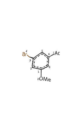 COc1cc(Br)cc(C(C)=O)c1